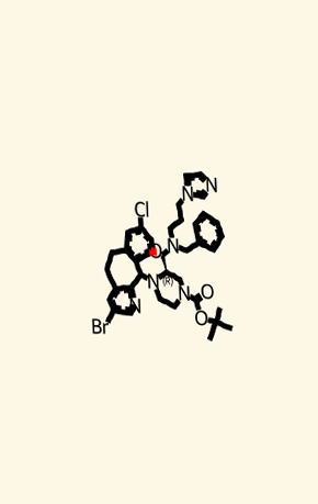 CC(C)(C)OC(=O)N1CCN(C2c3ccc(Cl)cc3CCc3cc(Br)cnc32)[C@@H](C(=O)N(CCCn2ccnc2)Cc2ccccc2)C1